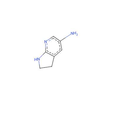 Nc1cnc2c(c1)CCN2